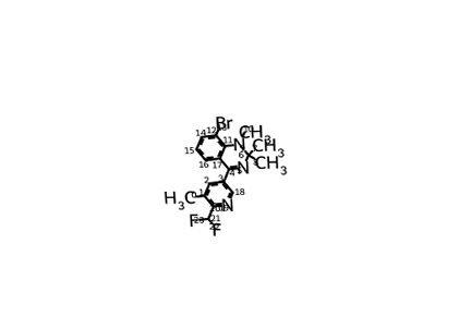 Cc1cc(C2=NC(C)(C)N(C)c3c(Br)cccc32)cnc1C(F)F